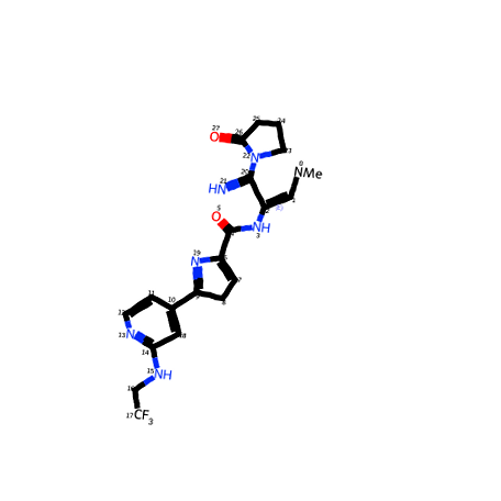 CN/C=C(/NC(=O)C1=CCC(c2ccnc(NCC(F)(F)F)c2)=N1)C(=N)N1CCCC1=O